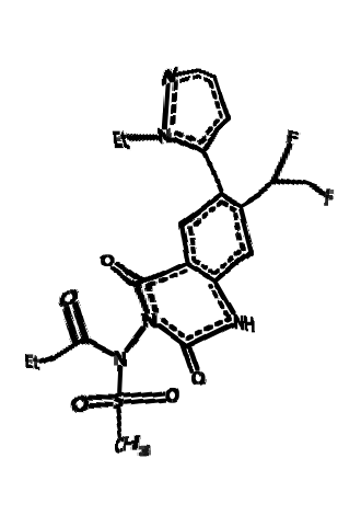 CCC(=O)N(n1c(=O)[nH]c2cc(C(F)F)c(-c3ccnn3CC)cc2c1=O)S(C)(=O)=O